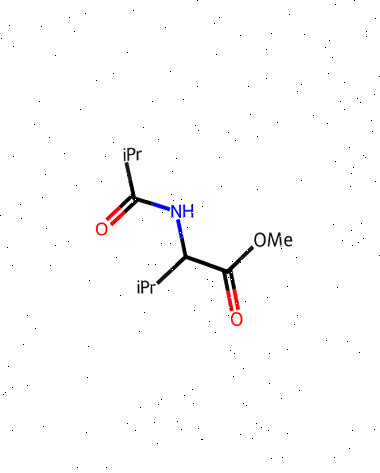 COC(=O)C(NC(=O)C(C)C)C(C)C